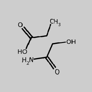 CCC(=O)O.NC(=O)CO